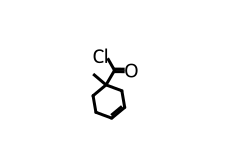 CC1(C(=O)Cl)CC=CCC1